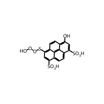 O=S(=O)(O)c1cc(O)c2ccc3c(SOOO)cc(S(=O)(=O)O)c4ccc1c2c34